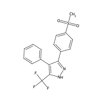 CS(=O)(=O)c1ccc(-c2n[nH]c(C(F)(F)F)c2-c2ccccc2)cc1